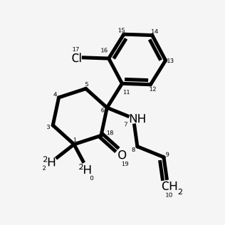 [2H]C1([2H])CCCC(NCC=C)(c2ccccc2Cl)C1=O